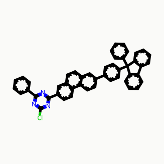 Clc1nc(-c2ccccc2)nc(-c2ccc3c(ccc4cc(-c5ccc(C6(c7ccccc7)c7ccccc7-c7ccccc76)cc5)ccc43)c2)n1